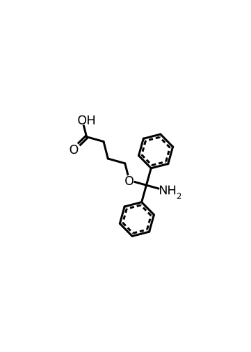 NC(OCCCC(=O)O)(c1ccccc1)c1ccccc1